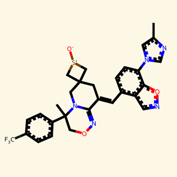 Cc1cn(-c2ccc(/C=C3\CC4(CN5C3=NOCC5(C)c3ccc(C(F)(F)F)cc3)C[S+]([O-])C4)c3cnoc23)cn1